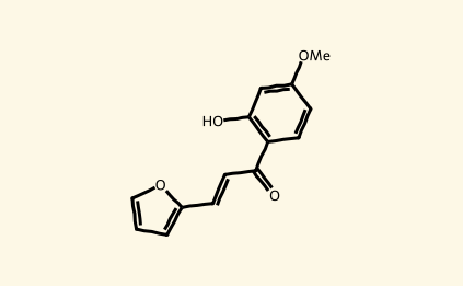 COc1ccc(C(=O)/C=C/c2ccco2)c(O)c1